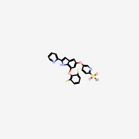 CCS(=O)(=O)c1ccc(Oc2cc(Oc3c(F)cccc3F)c3[nH]c(-c4ccccn4)cc3c2)cn1